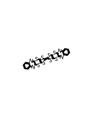 c1ccc2nc3c(nc2c1)SC1=C(SC(=C2SC4=C(S2)Sc2nc5ccccc5nc2S4)S1)S3